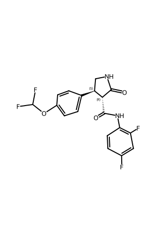 O=C1NC[C@H](c2ccc(OC(F)F)cc2)[C@H]1C(=O)Nc1ccc(F)cc1F